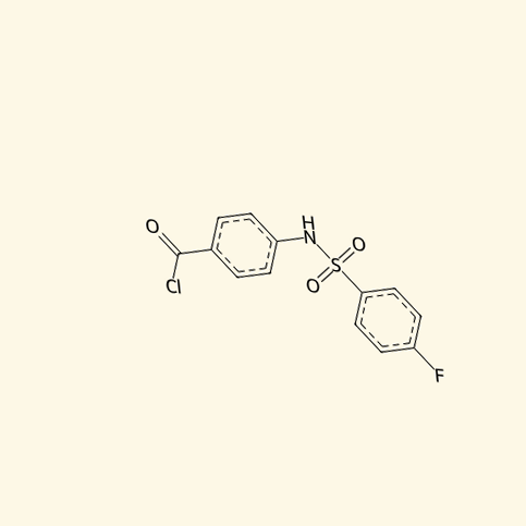 O=C(Cl)c1ccc(NS(=O)(=O)c2ccc(F)cc2)cc1